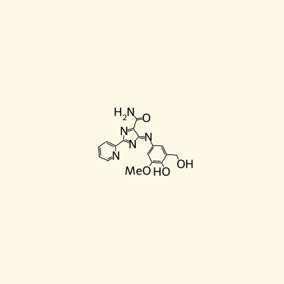 COc1cc(N=C2N=C(c3ccccn3)N=C2C(N)=O)cc(CO)c1O